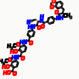 COc1c(NC(=O)c2ccc(NC(=O)c3ccc(NC(=O)[C@H](CC#N)NC(=O)c4ccc(NC(=O)C(C)Cc5ccc6c(c5)OCO6)cc4)cc3)c(OC)c2O)ccc(C(=O)O)c1O